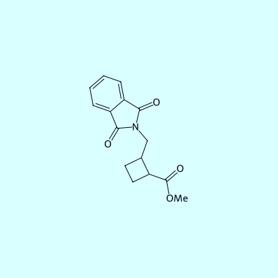 COC(=O)C1CCC1CN1C(=O)c2ccccc2C1=O